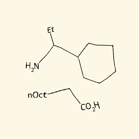 CCC(N)C1CCCCC1.CCCCCCCCCC(=O)O